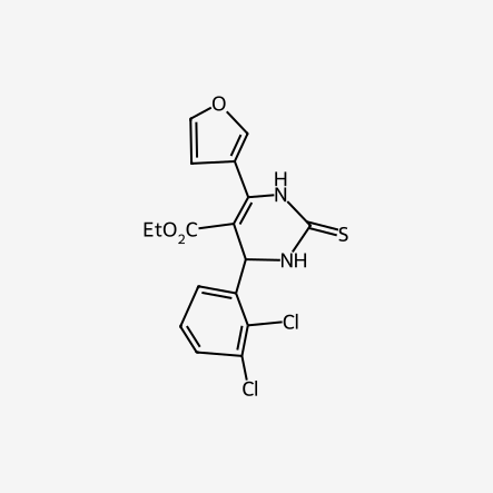 CCOC(=O)C1=C(c2ccoc2)NC(=S)NC1c1cccc(Cl)c1Cl